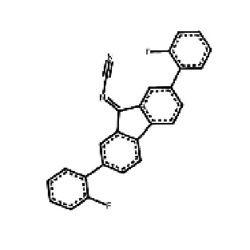 N#CN=C1c2cc(-c3ccccc3F)ccc2-c2ccc(-c3ccccc3F)cc21